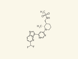 C[C@@H]1[C@@H](CNS(C)(=O)=O)CCCN1c1cc(-c2cnc3ccc(C(F)F)nn23)ncn1